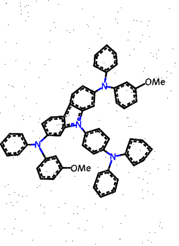 COc1cccc(N(c2ccccc2)c2ccc3c4ccc(N(c5ccccc5)c5cccc(OC)c5)cc4n(-c4ccc(N(c5ccccc5)c5ccccc5)cc4)c3c2)c1